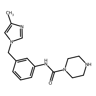 Cc1cn(Cc2cccc(NC(=O)N3CCNCC3)c2)cn1